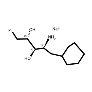 CC(C)C[C@H](O)[C@H](O)[C@@H](N)CC1CCCCC1.[NaH]